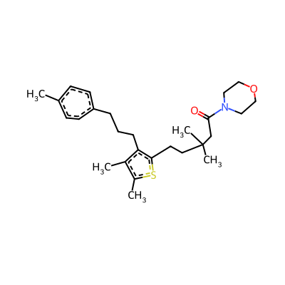 Cc1ccc(CCCc2c(CCC(C)(C)CC(=O)N3CCOCC3)sc(C)c2C)cc1